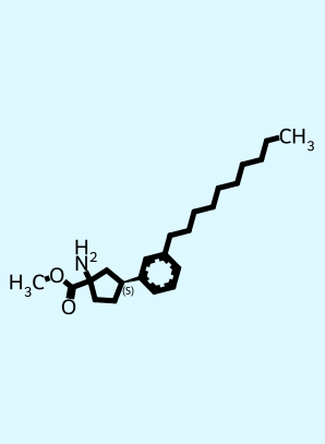 CCCCCCCCCCc1cccc([C@H]2CCC(N)(C(=O)OC)C2)c1